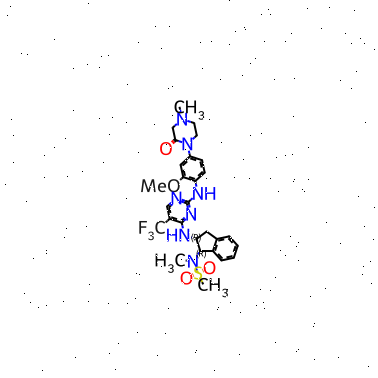 COc1cc(N2CCN(C)CC2=O)ccc1Nc1ncc(C(F)(F)F)c(N[C@@H]2Cc3ccccc3[C@H]2N(C)S(C)(=O)=O)n1